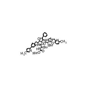 COC(=O)NC(C(=O)NC(Cc1ccc(-c2ccc(C)cn2)cc1)C(O)CC(Cc1ccccc1)NC(=O)[C@@H](N1CCN(Cc2cccc(C)n2)C1=O)C(C)(C)C)C(C)(C)C